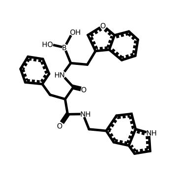 O=C(NCc1ccc2[nH]ccc2c1)C(Cc1ccccc1)C(=O)NC(Cc1coc2ccccc12)B(O)O